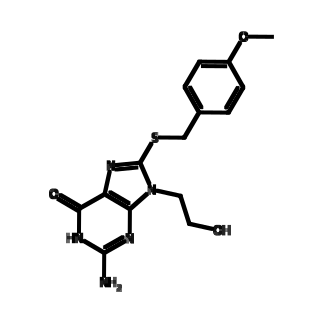 COc1ccc(CSc2nc3c(=O)[nH]c(N)nc3n2CCO)cc1